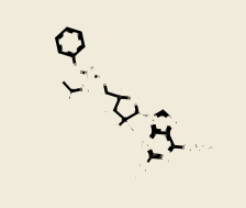 CCOC(=O)[C@@H](C)N[P@@](=O)(OC[C@@]1(F)O[C@@H](n2cnc3c(NC)nc(N)nc32)[C@](C)(F)[C@@H]1O)Oc1ccccc1